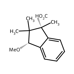 CO[C@H]1c2ccccc2[C@@](C)(C(=O)O)C1(C)C